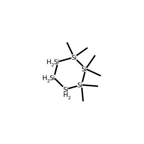 C[Si]1(C)[SiH2][SiH2][SiH2][Si](C)(C)[Si]1(C)C